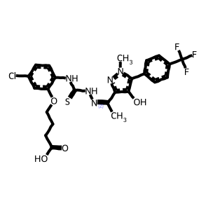 C/C(=N/NC(=S)Nc1ccc(Cl)cc1OCCCC(=O)O)c1nn(C)c(-c2ccc(C(F)(F)F)cc2)c1O